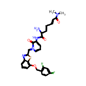 CN(C)C(=O)/C=C/CCC(N)C(=O)Nc1cccn(Cc2nc3cccc(OCc4ccc(F)cc4F)c3s2)c1=O